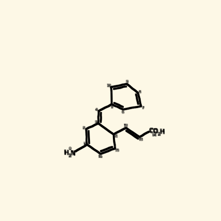 NC1=CC(=Cc2ccccc2)C(C=CC(=O)O)C=C1